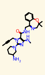 CC#CCn1c(N2CCCC(N)C2)nc(NC)c1C(=O)NCC1=NCC(C)(C)Oc2ccccc21